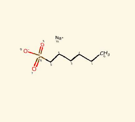 CC[CH]CCCS(=O)(=O)[O-].[Na+]